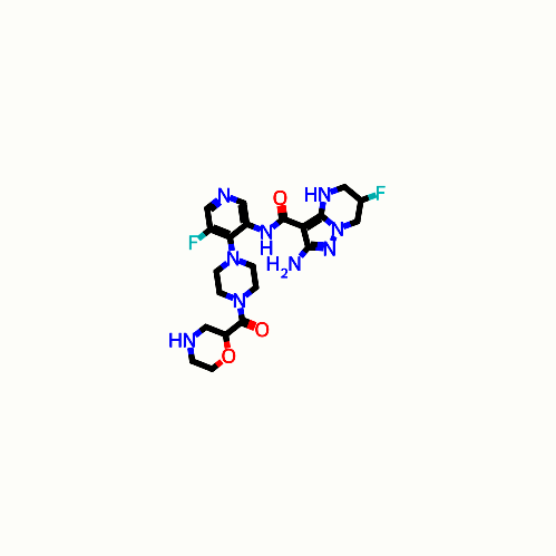 Nc1nn2c(c1C(=O)Nc1cncc(F)c1N1CCN(C(=O)C3CNCCO3)CC1)NCC(F)C2